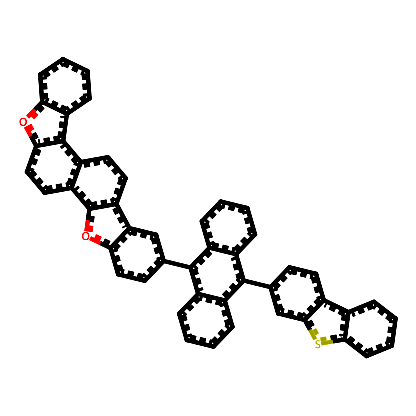 c1ccc2c(c1)oc1ccc3c(ccc4c5cc(-c6c7ccccc7c(-c7ccc8c(c7)sc7ccccc78)c7ccccc67)ccc5oc43)c12